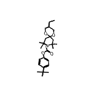 CCC1COC2(CC(C)(C)N(C(=O)Oc3ccc(C(C)(C)C)cc3)C(C)(C)C2)OC1